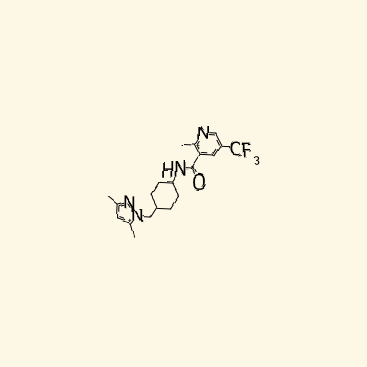 Cc1cc(C)n(CC2CCC(NC(=O)c3cc(C(F)(F)F)cnc3C)CC2)n1